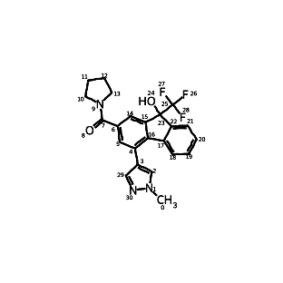 Cn1cc(-c2cc(C(=O)N3CCCC3)cc3c2-c2ccccc2C3(O)C(F)(F)F)cn1